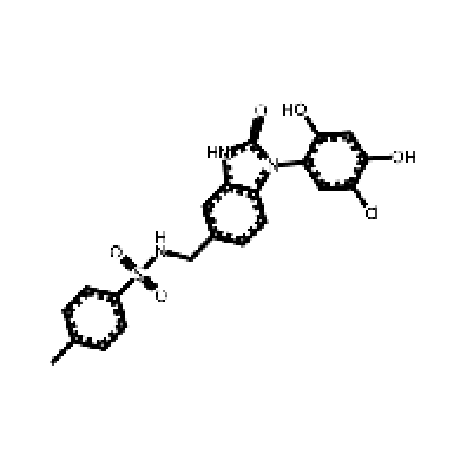 Cc1ccc(S(=O)(=O)NCc2ccc3c(c2)[nH]c(=O)n3-c2cc(Cl)c(O)cc2O)cc1